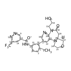 Cc1ccc(NC(=O)c2cnnc(C(F)(F)F)c2)cc1-c1cnc2c(c1)N1CCOC[C@@H]1CC(=O)N2CCO